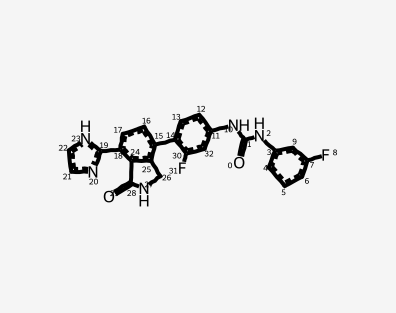 O=C(Nc1cccc(F)c1)Nc1ccc(-c2ccc(-c3ncc[nH]3)c3c2CNC3=O)c(F)c1